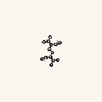 c1ccc(-c2cc(-c3ccccc3)cc(-c3cc(-c4cccc(-c5cccc(-c6cc(-c7cc(-c8ccccc8)cc(-c8ccccc8)c7)cc(-c7ccc8c(c7)sc7ccccc78)c6)c5)c4)cc(-c4ccc5c(c4)sc4ccccc45)c3)c2)cc1